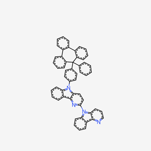 c1ccc(C2(c3ccc(-n4c5ccccc5c5nc(-n6c7ccccc7c7ncccc76)ccc54)cc3)c3ccccc3-c3ccccc3-c3ccccc32)cc1